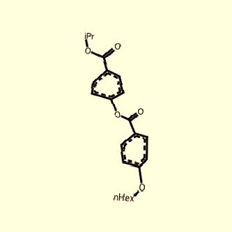 CCCCCCOc1ccc(C(=O)Oc2ccc(C(=O)OC(C)C)cc2)cc1